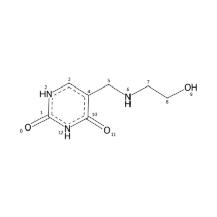 O=c1[nH]cc(CNCCO)c(=O)[nH]1